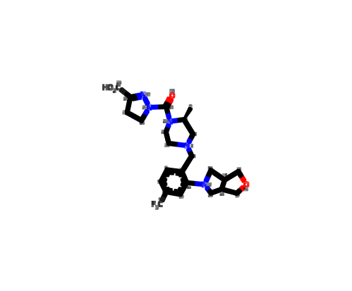 C[C@H]1CN(Cc2ccc(C(F)(F)F)cc2N2CC3COCC3C2)CCN1C(=O)N1CCC(C(=O)O)=N1